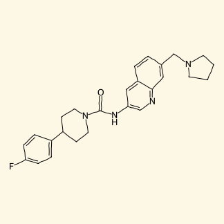 O=C(Nc1cnc2cc(CN3CCCC3)ccc2c1)N1CCC(c2ccc(F)cc2)CC1